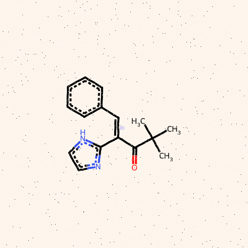 CC(C)(C)C(=O)/C(=C/c1ccccc1)c1ncc[nH]1